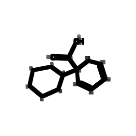 O=C(O)C1(C2CCCCC2)C=CC=CC1